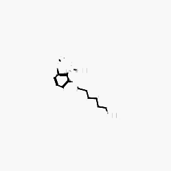 CCCCCC[CH]Oc1cccc(OC)c1OC